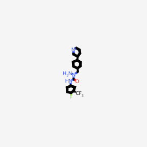 NN(Cc1ccc(-c2cccnc2)cc1)C(=O)Nc1ccc(F)c(C(F)(F)F)c1